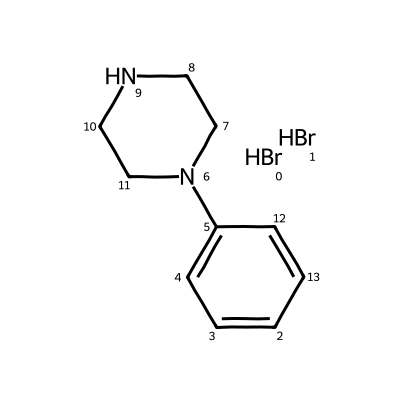 Br.Br.c1ccc(N2CCNCC2)cc1